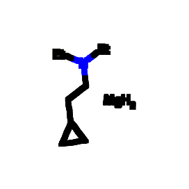 CCN(CC)CC[C]1CC1.[MgH2]